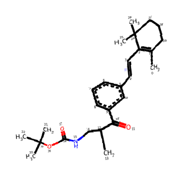 CC1=C(/C=C/c2cccc(C(=O)C(C)CNC(=O)OC(C)(C)C)c2)C(C)(C)CCC1